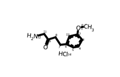 COc1cccc(CCC(=O)CN)c1.Cl